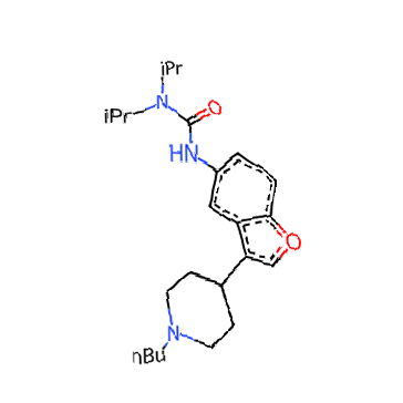 CCCCN1CCC(c2coc3ccc(NC(=O)N(C(C)C)C(C)C)cc23)CC1